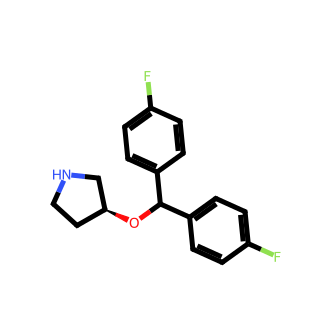 Fc1ccc(C(O[C@H]2CCNC2)c2ccc(F)cc2)cc1